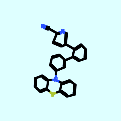 N#Cc1ccc(-c2ccccc2-c2cccc(N3c4ccccc4Sc4ccccc43)c2)cn1